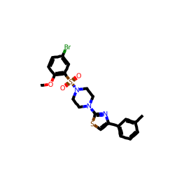 COc1ccc(Br)cc1S(=O)(=O)N1CCN(c2nc(-c3cccc(C)c3)cs2)CC1